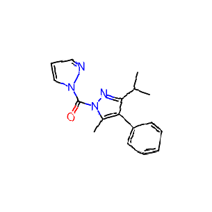 Cc1c(-c2ccccc2)c(C(C)C)nn1C(=O)n1cccn1